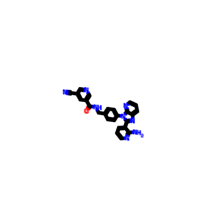 N#Cc1cncc(C(=O)NCc2ccc(-n3c(-c4cccnc4N)nc4cccnc43)cc2)c1